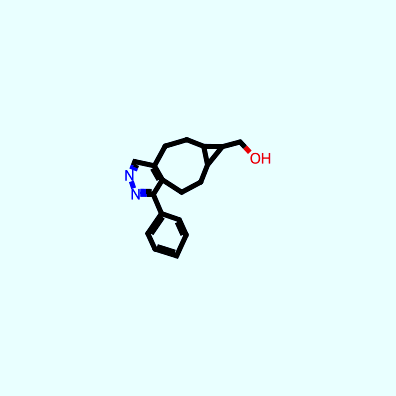 OCC1C2CCc3cnnc(-c4ccccc4)c3CCC12